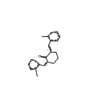 Cc1ccccc1/C=C1/CCC/C(=C\c2ccccc2C)C1=O